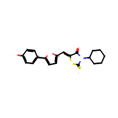 O=C1/C(=C/c2ccc(-c3ccc(O)cc3)o2)SC(=S)N1C1CCCCC1